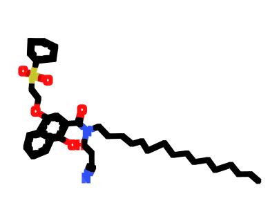 CCCCCCCCCCCCCCCCN(CCC#N)C(=O)c1cc(OCCS(=O)(=O)c2ccccc2)c2ccccc2c1O